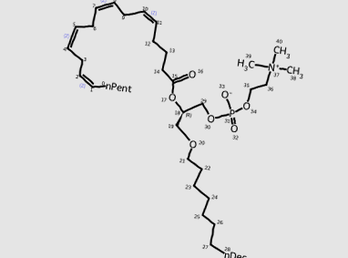 CCCCC/C=C\C/C=C\C/C=C\C/C=C\CCCC(=O)O[C@H](COCCCCCCCCCCCCCCCCC)COP(=O)([O-])OCC[N+](C)(C)C